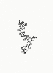 CCOP(=O)(CNC(=O)c1csc(NC(=O)c2cc(Oc3ccc(S(C)(=O)=O)cc3)cc(OC(C)C)c2)n1)OCC